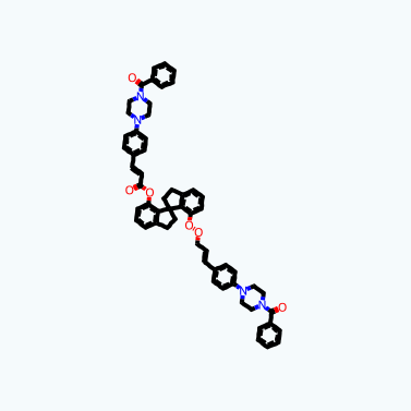 O=C(/C=C/c1ccc(N2CCN(C(=O)c3ccccc3)CC2)cc1)Oc1cccc2c1C1(CCc3cccc(OOC/C=C/c4ccc(N5CCN(C(=O)c6ccccc6)CC5)cc4)c31)CC2